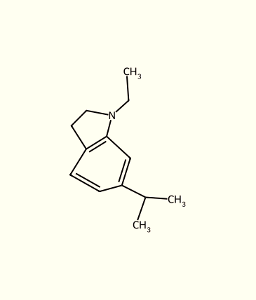 CCN1CCc2ccc(C(C)C)cc21